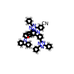 N#Cc1ccc(-n2c3ccc(-c4cccc(-n5c6ccccc6c6ccccc65)c4)cc3c3cc(-c4nc(-c5ccccc5)nc(-c5ccccc5)n4)ccc32)c(-c2nc(-c3ccccc3)nc(-c3ccccc3)n2)c1